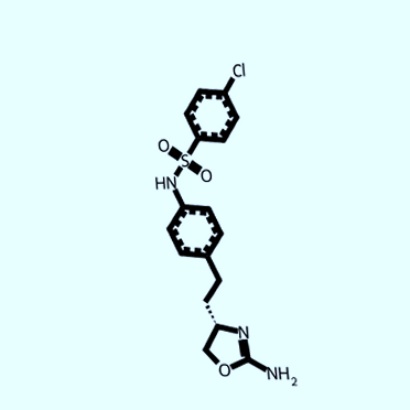 NC1=N[C@@H](CCc2ccc(NS(=O)(=O)c3ccc(Cl)cc3)cc2)CO1